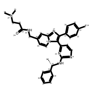 C[C@H](Nc1nccc(-c2c(-c3ccc(F)cc3)nc3cc(CNC(=O)CCN(C)C)ccn23)n1)c1ccccc1